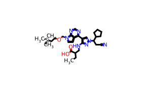 CCC(CNc1nn(C(CC#N)C2CCCC2)cc1-c1ncnc2c1ccn2COCC[Si](C)(C)C)C(=O)O